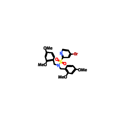 COc1ccc(CN(Cc2ccc(OC)cc2OC)S(=O)(=O)c2cc(Br)ccn2)c(OC)c1